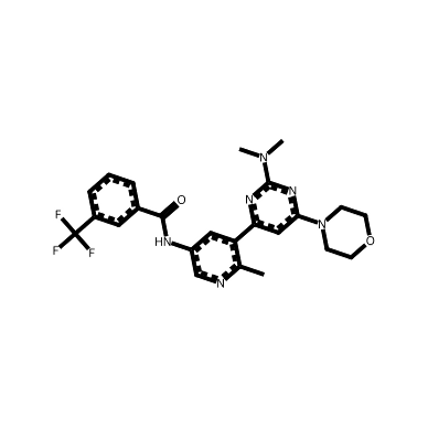 Cc1ncc(NC(=O)c2cccc(C(F)(F)F)c2)cc1-c1cc(N2CCOCC2)nc(N(C)C)n1